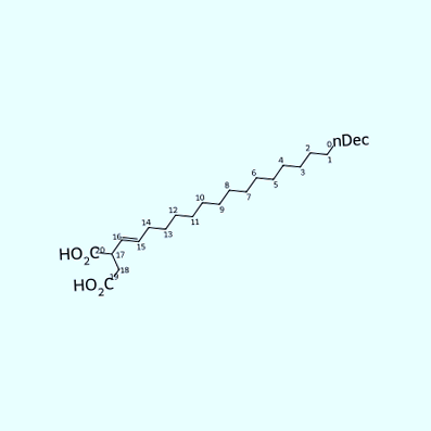 CCCCCCCCCCCCCCCCCCCCCCCCC=CC(CC(=O)O)C(=O)O